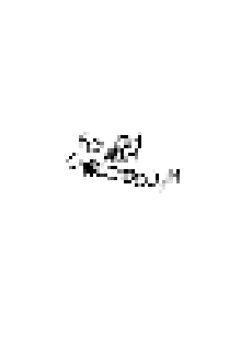 O=C(O)COC[C@H]1CC[C@@H](Cn2nc(-c3ccccc3)c(-c3cccc(F)c3)c2CC[C@H](O)CO)CC1